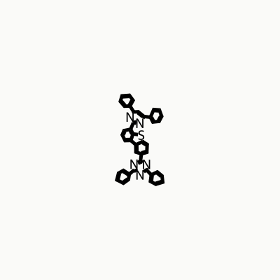 c1ccc(-c2cc(-c3ccccc3)nc(-c3cccc4c3sc3ccc(-c5nc(-c6ccccc6)nc(-c6ccccc6)n5)cc34)n2)cc1